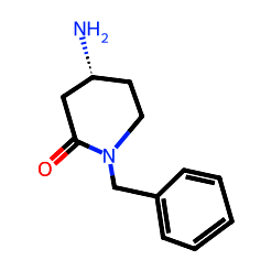 N[C@@H]1CCN(Cc2ccccc2)C(=O)C1